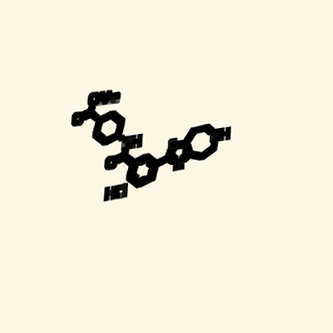 COC(=O)[C@H]1CC[C@H](NC(=O)c2cccc(-c3nc4c(s3)CCNCC4)c2)CC1.Cl